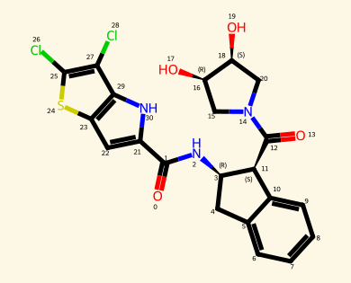 O=C(N[C@@H]1Cc2ccccc2[C@@H]1C(=O)N1C[C@@H](O)[C@@H](O)C1)c1cc2sc(Cl)c(Cl)c2[nH]1